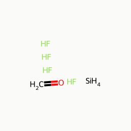 C=O.F.F.F.F.[SiH4]